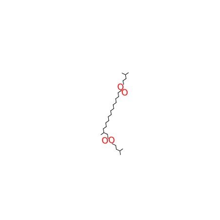 CC(C)CCCOC(=O)CCCCCCCCCCCCCC(C)CC(=O)OCCCC(C)C